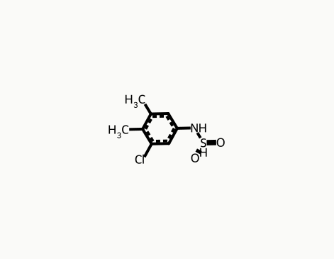 Cc1cc(N[SH](=O)=O)cc(Cl)c1C